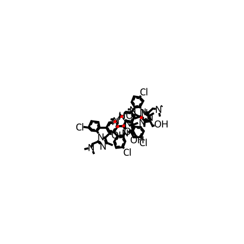 Cc1nc(CN(C)C)n(-c2cc(Cl)ccc2-c2cnc(C(=O)c3ncc(-c4ccc(Cl)cc4-n4c(CN(C)C)nc(C)c4CO)cc3-c3ccc(Cl)cc3-n3c(CN(C)C)nc(C)c3CO)c(-c3ccc(Cl)cc3-n3c(CN(C)C)nc(C)c3CO)c2)c1CO